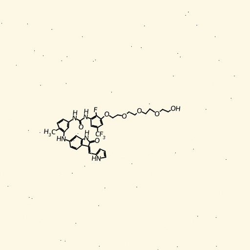 Cc1ccc(NC(=O)Nc2cc(C(F)(F)F)cc(OCCOCCOCCOCCO)c2F)cc1Nc1ccc2c(c1)NC(=O)/C2=C\c1ccc[nH]1